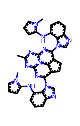 Cc1nc2nc(-n3cnc4cccc(Nc5cccn5C)c43)c3ccc4c(-n5cnc6cccc(Nc7cccn7C)c65)nc(n1)n2c34